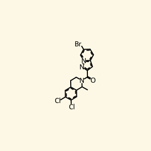 CC1c2cc(Cl)c(Cl)cc2CCN1C(=O)c1cc2ccc(Br)cn2n1